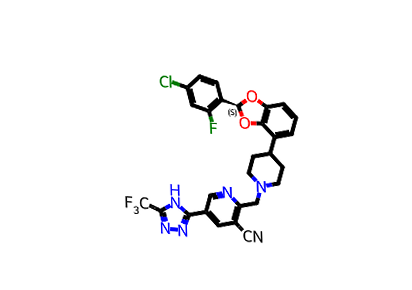 N#Cc1cc(-c2nnc(C(F)(F)F)[nH]2)cnc1CN1CCC(c2cccc3c2O[C@@H](c2ccc(Cl)cc2F)O3)CC1